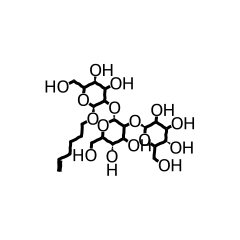 C=CCCCCO[C@H]1OC(CO)[C@@H](O)C(O)C1O[C@H]1OC(CO)[C@@H](O)C(O)C1O[C@@H]1OC(CO)[C@@H](O)C(O)C1O